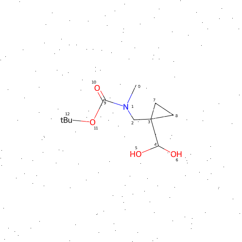 CN(CC1(C(O)O)CC1)C(=O)OC(C)(C)C